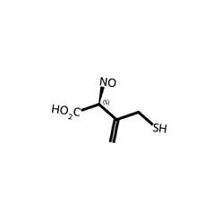 C=C(CS)[C@H](N=O)C(=O)O